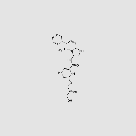 O=C(NC1=CNC2C=CC(c3ccccc3C(F)(F)F)NN12)C1=CNCC(OC[C@@H](O)CO)N1